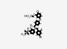 Cc1c(NS(C)(=O)=O)cccc1N(Cc1ccc(Oc2ccc(Cl)c(OCC(=O)O)c2)cc1)Cc1ccc(Br)cc1F